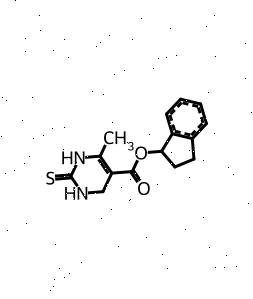 CC1=C(C(=O)OC2CCc3ccccc32)CNC(=S)N1